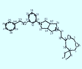 CCC1(CC)COCOC(CCN2CC3CN(c4cccc(OCc5ccccc5)c4)CC3C2)C1